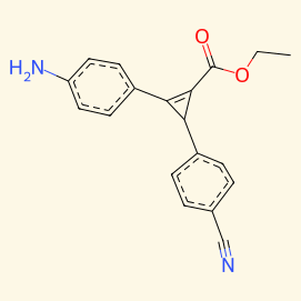 CCOC(=O)C1=C(c2ccc(N)cc2)C1c1ccc(C#N)cc1